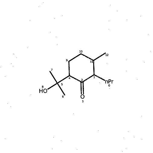 CCCC1C(=O)C(C(C)(C)O)CCC1C